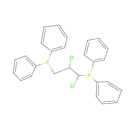 ClC(CP(c1ccccc1)c1ccccc1)C(Cl)P(c1ccccc1)c1ccccc1